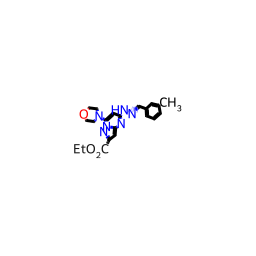 CCOC(=O)c1cc2nc(N/N=C/c3cccc(C)c3)cc(N3CCOCC3)n2n1